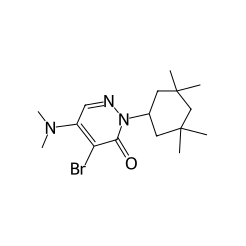 CN(C)c1cnn(C2CC(C)(C)CC(C)(C)C2)c(=O)c1Br